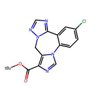 CC(C)(C)OC(=O)c1ncn2c1Cn1ncnc1-c1cc(Cl)ccc1-2